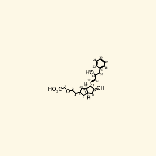 O=C(O)COCCC1C[C@H]2C[C@H](O)[C@@H](C=CC(O)Cc3ccccc3)[C@@H]2C1